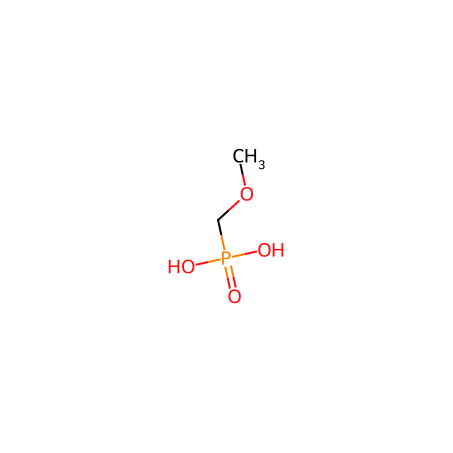 COCP(=O)(O)O